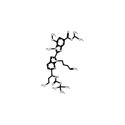 C=CCCCn1c(-c2nc3cc(C(=O)OC(C)C)cc(OC)c3n2C)cc2ccc(C(CCC)NC(=O)OC(C)(C)C)nc21